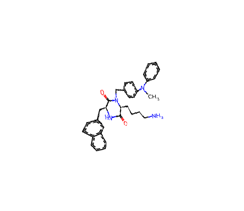 CN(c1ccccc1)c1ccc(CN2C(=O)[C@H](Cc3ccc4ccccc4c3)NC(=O)[C@@H]2CCCCN)cc1